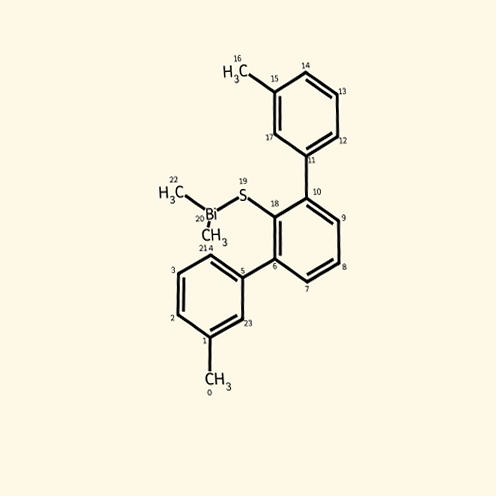 Cc1cccc(-c2cccc(-c3cccc(C)c3)c2[S][Bi]([CH3])[CH3])c1